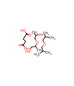 CC(C)COCC(C)C.CC(O)COC(C)CO.O=C(O)CCC(=O)O